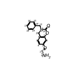 NSOc1ccc2c(c1)OC(=O)N(Cc1ccccc1)C2